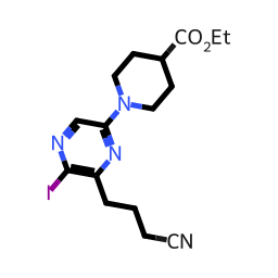 CCOC(=O)C1CCN(c2cnc(I)c(CCCC#N)n2)CC1